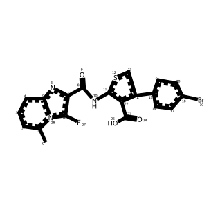 Cc1cccc2nc(C(=O)Nc3scc(-c4ccc(Br)cc4)c3C(=O)O)c(F)n12